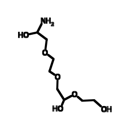 NC(O)COCCOCC(O)OCCO